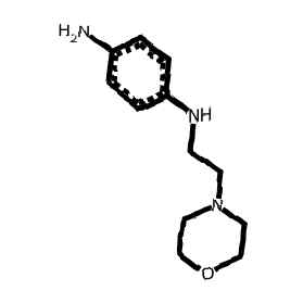 Nc1ccc(NCCN2CCOCC2)cc1